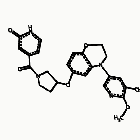 COc1ncc(N2CCOc3ccc(OC4CCN(C(=O)c5cc[nH]c(=O)c5)C4)cc32)cc1C